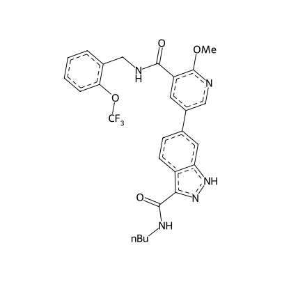 CCCCNC(=O)c1n[nH]c2cc(-c3cnc(OC)c(C(=O)NCc4ccccc4OC(F)(F)F)c3)ccc12